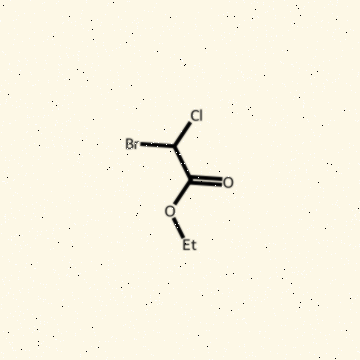 CCOC(=O)C(Cl)Br